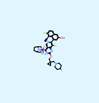 C#Cc1c(F)ccc2cc(O)cc(-c3ncc4c(N5CC6CCC(C5)N6C(=O)C(F)(F)F)nc(OCC5(CN6CCC(F)CC6)CC5)nc4c3F)c12